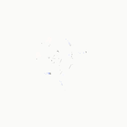 [C-]#[N+]/C(C#N)=c1\cc/c(=C(/C#N)[N+]#[C-])c2c1C1CCC2C(C2CO2)=C1C1CO1